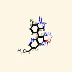 CCc1cnc2c(-c3ccc(F)c4[nH]ncc34)c(N)c(=O)[nH]c2c1